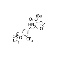 CC(C)(C)OC(=O)NC1(CCc2ccc(OS(=O)(=O)C(F)(F)F)c(C(F)(F)F)c2)COC(C)(C)OC1